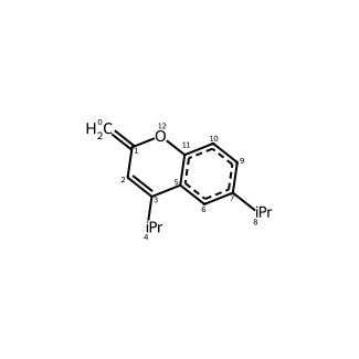 C=C1C=C(C(C)C)c2cc(C(C)C)ccc2O1